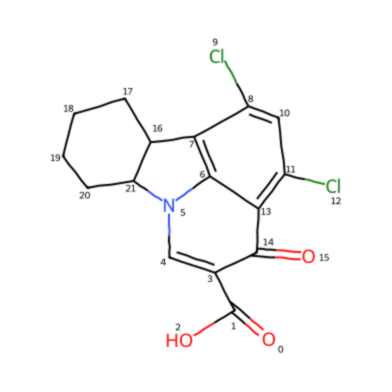 O=C(O)c1cn2c3c(c(Cl)cc(Cl)c3c1=O)C1CCCCC12